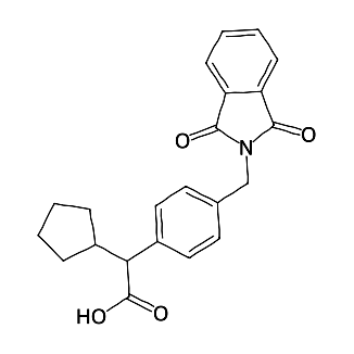 O=C(O)C(c1ccc(CN2C(=O)c3ccccc3C2=O)cc1)C1CCCC1